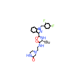 CC(C)(C)[C@H](NC(=O)c1nn(Cc2ccc(F)cc2F)c2ccccc12)C(=O)NCCN1CCNC(=O)C1